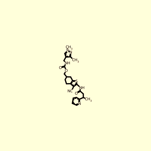 Cc1nn(C)cc1CNC(=O)OCC1CCc2c(sc(NC(=O)CC(C)c3ccccn3)c2C#N)C1